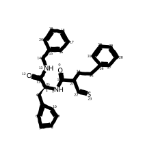 O=C(N[C@@H](Cc1ccccc1)C(=O)NCc1ccccc1)C(C=S)CCc1ccccc1